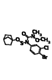 CON(C)C(=O)N(SOC12CCC(CC1)C2)c1ccc(Br)c(Cl)c1